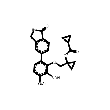 COc1ccc(-c2ccc3c(c2)CNC3=O)c(OCC2(OC(=O)C3CC3)CC2)c1OC